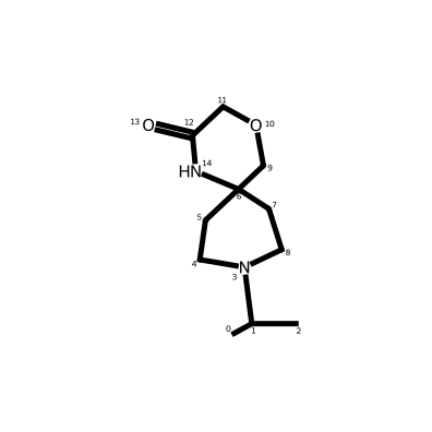 CC(C)N1CCC2(CC1)COCC(=O)N2